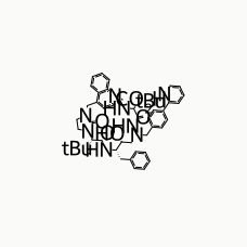 CC(C)(C)[C@H](NC(=O)O)C(=O)NN(Cc1ccc(-c2ccccn2)cc1)C[C@H](O)[C@H](Cc1ccccc1)NC(=O)[C@@H](N1CCN(Cc2ccnc3ccccc23)C1=O)C(C)(C)C